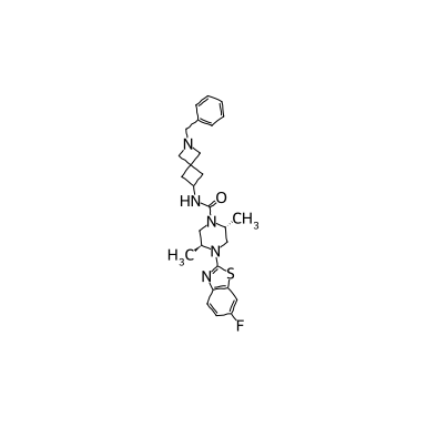 C[C@@H]1CN(c2nc3ccc(F)cc3s2)[C@@H](C)CN1C(=O)NC1CC2(C1)CN(Cc1ccccc1)C2